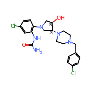 NC(=O)Nc1cc(Cl)ccc1N1C[C@@H](O)[C@H](N2CCN(Cc3ccc(Cl)cc3)CC2)C1